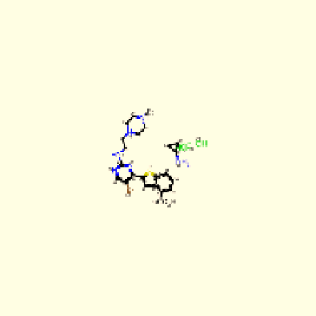 CCN1CCN(CCNc2ncc(Br)c(-c3cc4c(C(=O)O)cccc4s3)n2)CC1.Cl.Cl.Cl.NC1CC1